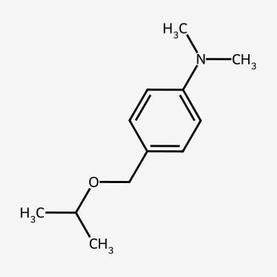 CC(C)OCc1ccc(N(C)C)cc1